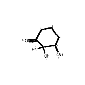 O=C1CCCC(O)C1(O)O